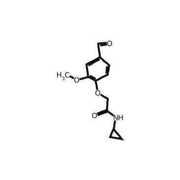 COc1cc(C=O)ccc1OCC(=O)NC1CC1